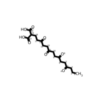 CCCC(=O)CCC(=O)CCC(=O)CCC(=O)CCC(C(=O)O)C(=O)O